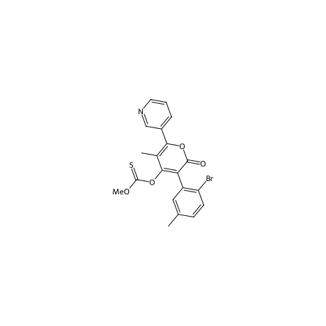 COC(=S)Oc1c(C)c(-c2cccnc2)oc(=O)c1-c1cc(C)ccc1Br